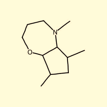 CC1CC(C)C2C1OCCCN2C